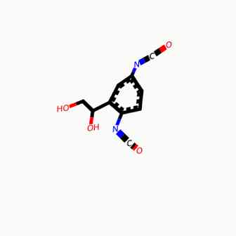 O=C=Nc1ccc(N=C=O)c(C(O)CO)c1